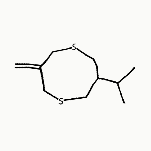 C=C1CSCC(C(C)C)CSC1